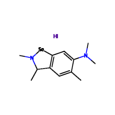 Cc1cc2c(cc1N(C)C)[Se]N(C)C2C.I